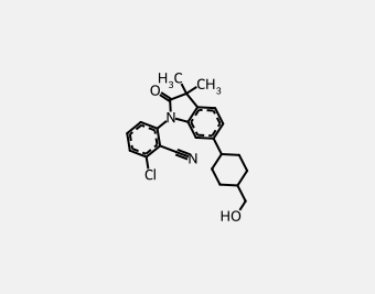 CC1(C)C(=O)N(c2cccc(Cl)c2C#N)c2cc(C3CCC(CO)CC3)ccc21